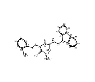 CC(C)(C)OC(=O)C(CCc1ccccc1C(F)(F)F)NC(=O)OCC1c2ccccc2-c2ccccc21